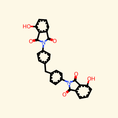 O=C1c2cccc(O)c2C(=O)N1c1ccc(Cc2ccc(N3C(=O)c4cccc(O)c4C3=O)cc2)cc1